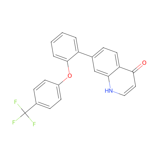 O=c1cc[nH]c2cc(-c3ccccc3Oc3ccc(C(F)(F)F)cc3)ccc12